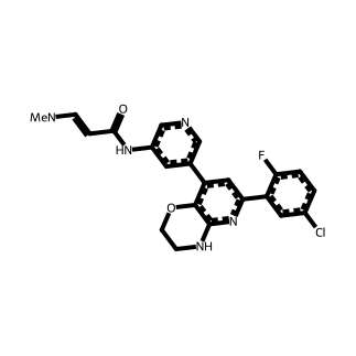 CNC=CC(=O)Nc1cncc(-c2cc(-c3cc(Cl)ccc3F)nc3c2OCCN3)c1